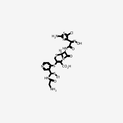 CCSC(NC(=O)CN)c1cnccc1SC1=C(C(=O)O)N2C(=O)[C@@H](NC(=O)/C(=N\O)c3nc(N)sc3Cl)[C@@H]2SC1